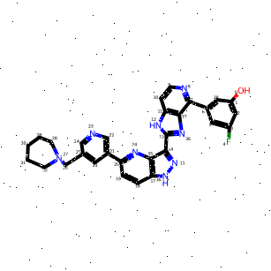 Oc1cc(F)cc(-c2nccc3[nH]c(-c4n[nH]c5ccc(-c6cncc(CN7CCCCC7)c6)nc45)nc23)c1